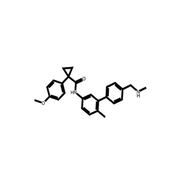 CNCc1ccc(-c2cc(NC(=O)C3(c4ccc(OC)cc4)CC3)ccc2C)cc1